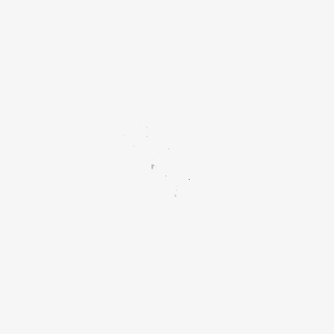 CC(C)(NC(=O)c1cccc(F)c1)C(=O)NC1CCCCC1